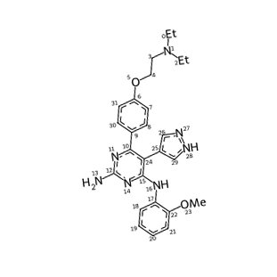 CCN(CC)CCOc1ccc(-c2nc(N)nc(Nc3ccccc3OC)c2-c2cn[nH]c2)cc1